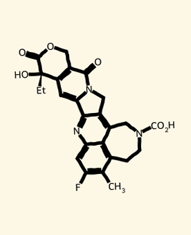 CC[C@@]1(O)C(=O)OCc2c1cc1n(c2=O)Cc2c-1nc1cc(F)c(C)c3c1c2CN(C(=O)O)CC3